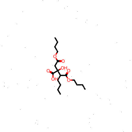 CCCCOC(=O)CC(O)(C(=O)O)C(CCCC)C(=O)OCCCC